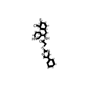 O=C(CSc1ncc(-c2ccccc2)cn1)NC(Cc1ccc(F)c(Cl)c1)C1CCCNC1